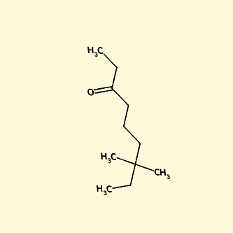 CCC(=O)CCCC(C)(C)CC